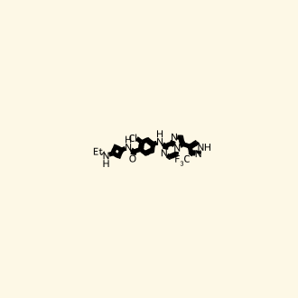 CCNC1CC(NC(=O)c2ccc(Nc3nccn4c(-c5c[nH]nc5C(F)(F)F)cnc34)cc2Cl)C1